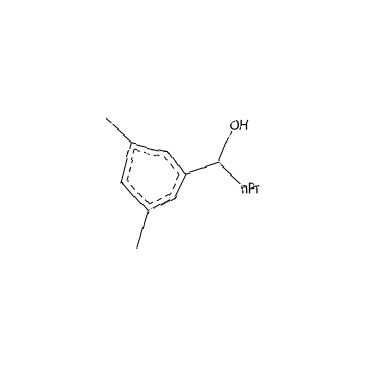 CCCC(O)c1cc(C)cc(C)c1